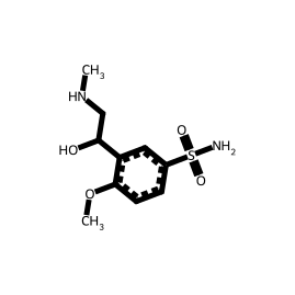 CNCC(O)c1cc(S(N)(=O)=O)ccc1OC